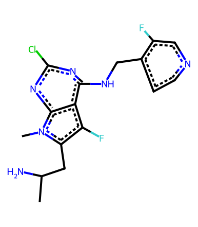 CC(N)Cc1c(F)c2c(NCc3ccncc3F)nc(Cl)nc2n1C